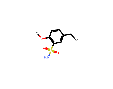 CCOc1ccc(CC(C)=O)cc1S(N)(=O)=O